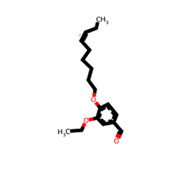 CC/C=C\CCCCCOc1ccc(C=O)cc1OCC